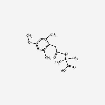 COc1cc(C)c(CC(=O)NC(C)(C)C(=O)O)c(C)c1